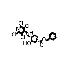 O=C(OCc1ccccc1)N1CC[C@H](CNc2c(Cl)c(Cl)nc(Cl)c2Cl)[C@H](O)C1